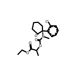 CCOC(=O)C(C)OC(=O)N(C)[C@]1(c2ccccc2Cl)CCCCC1=O